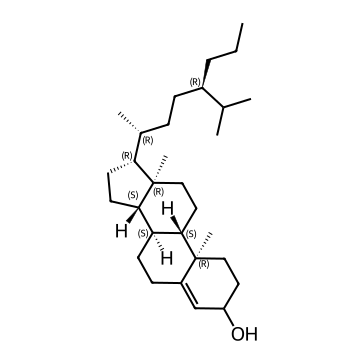 CCC[C@H](CC[C@@H](C)[C@H]1CC[C@H]2[C@@H]3CCC4=CC(O)CC[C@]4(C)[C@H]3CC[C@]12C)C(C)C